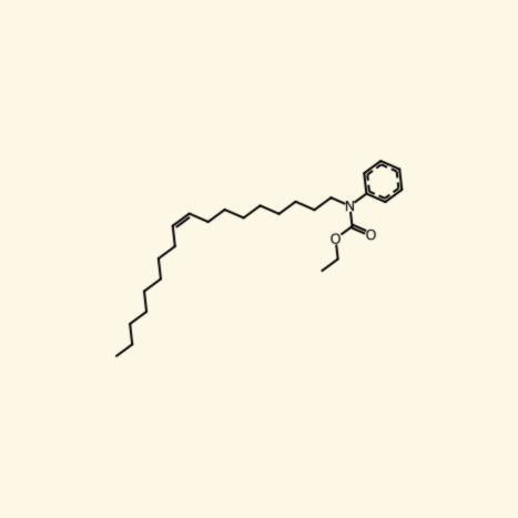 CCCCCCCC/C=C\CCCCCCCCN(C(=O)OCC)c1ccccc1